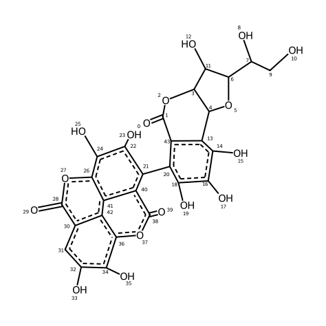 O=C1OC2C(OC(C(O)CO)C2O)c2c(O)c(O)c(O)c(-c3c(O)c(O)c4oc(=O)c5cc(O)c(O)c6oc(=O)c3c4c65)c21